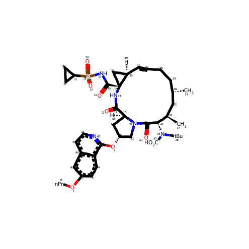 CCCOc1ccc2c(O[C@@H]3C[C@H]4C(=O)N[C@]5(C(=O)NS(=O)(=O)C6CC6)C[C@H]5/C=C\CC[C@H](C)C[C@@H](C)[C@H](N(C(=O)O)C(C)(C)C)C(=O)N4C3)nccc2c1